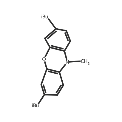 CCC(C)c1ccc2c(c1)Oc1cc(C(C)CC)ccc1N2C